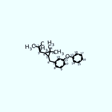 CC(C)=CC1C(Cc2cccc(Oc3ccccc3)c2)C1(C)C